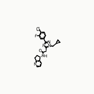 O=C(Cc1nc(-c2ccc(Cl)c(F)c2)nn1CC1CC1)N[C@H]1CCc2ncccc21